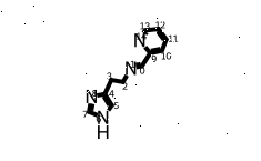 C(=NCCc1c[nH]cn1)c1ccccn1